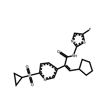 O=C(Nc1ncc(F)s1)C(=CC1CCCC1)c1ccc(S(=O)(=O)C2CC2)nc1